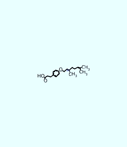 CC(C)=CCC/C(C)=C/COc1ccc(CCC(=O)O)cc1